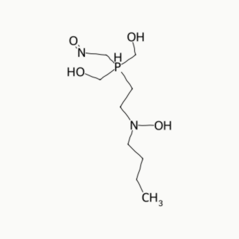 CCCCN(O)CC[PH](CO)(CO)CN=O